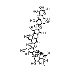 C[C@H]1C(O[C@@H]2OC(CO)[C@H](O)C(O[C@]3(C(=O)O)C[C@@H](O)[C@@H](N)C([C@H](O)[C@H](O)CO)O3)[C@@H]2O)[C@@H](O)C(CO)O[C@H]1O[C@@H]1C(O)[C@@H](O[C@H]2C(CO)O[C@@H](O[C@@H]3C(CO)O[C@@H](O)C(O)C3O)[C@@H](O)C2O)OC(CO)[C@@H]1O